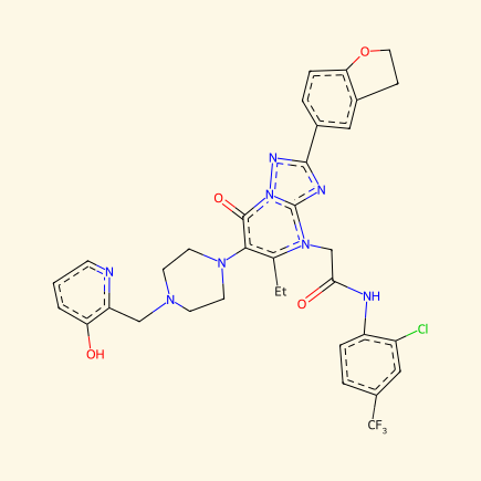 CCc1c(N2CCN(Cc3ncccc3O)CC2)c(=O)n2nc(-c3ccc4c(c3)CCO4)nc2n1CC(=O)Nc1ccc(C(F)(F)F)cc1Cl